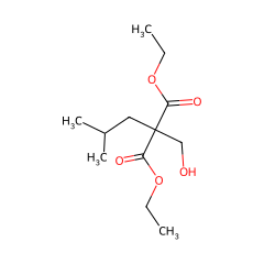 CCOC(=O)C(CO)(CC(C)C)C(=O)OCC